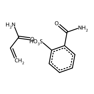 C=CC(N)=O.NC(=O)c1ccccc1S(=O)(=O)O